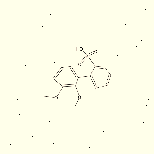 COc1cccc(-c2ccccc2S(=O)(=O)O)c1OC